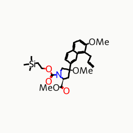 C=CCc1c(OC)ccc2ccc([C@]3(OC)C[C@@H](C(=O)OC)N(C(=O)OCC[Si](C)(C)C)C3)cc12